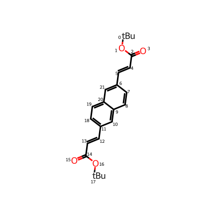 CC(C)(C)OC(=O)C=Cc1ccc2cc(C=CC(=O)OC(C)(C)C)ccc2c1